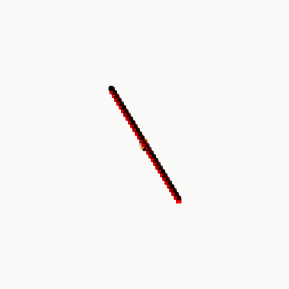 CCCCCCCCCCCCCCCCCCCCCCCCCCCC/C=C/[P]/C=C/CCCCCCCCCCCCCCCCCCCCCCCCCCCC